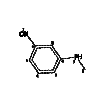 CPc1cccc(N=O)c1